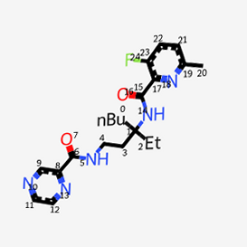 CCCCC(CC)(CCNC(=O)c1cnccn1)NC(=O)c1nc(C)ccc1F